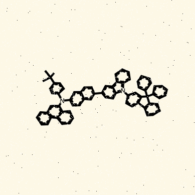 CC(C)(C)c1ccc(N(c2ccc3cc(-c4ccc5c(c4)c4ccccc4n5-c4ccc5c(c4)C(c4ccccc4)(c4ccccc4)c4ccccc4-5)ccc3c2)c2cc3ccccc3c3ccccc23)cc1